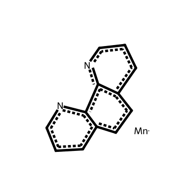 [Mn].c1cnc2c(c1)ccc1cccnc12